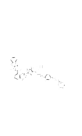 O=C(Nc1nc2ccccc2s1)c1cccc2c1CN(c1nc(C(=O)O)c(CCCOc3ccc(OCCN4CCCCC4)cc3)s1)CC2